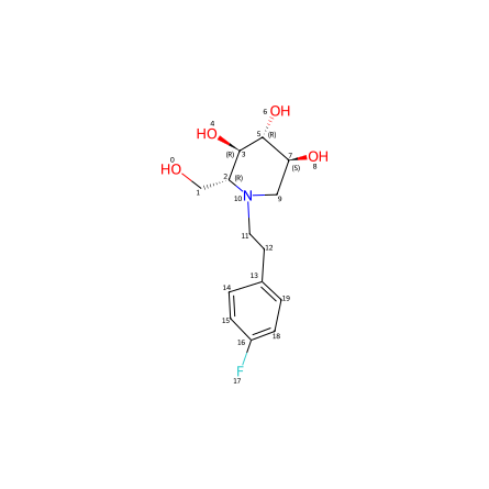 OC[C@@H]1[C@@H](O)[C@H](O)[C@@H](O)CN1CCc1ccc(F)cc1